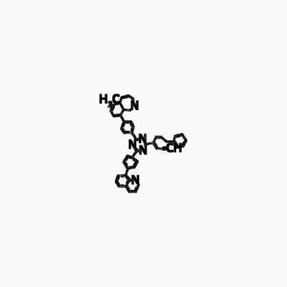 C#C/C=C(\C=C/CC1=C=C=CC=C1)c1nc(-c2ccc(C3=CC=CC4(C)C=CC=NCC34)cc2)nc(-c2ccc(-c3cccc4cccnc34)cc2)n1